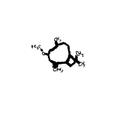 C=C1CC(OC)C=C(C)CCC2C1CC2(C)C